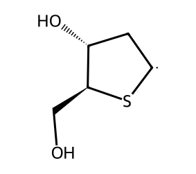 OC[C@@H]1S[CH]C[C@H]1O